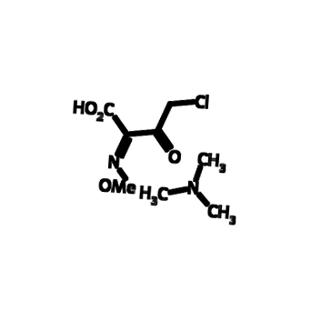 CN(C)C.CON=C(C(=O)O)C(=O)CCl